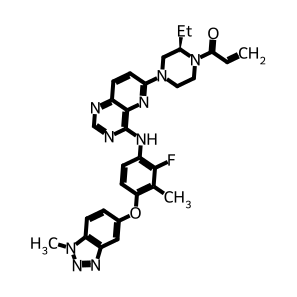 C=CC(=O)N1CCN(c2ccc3ncnc(Nc4ccc(Oc5ccc6c(c5)nnn6C)c(C)c4F)c3n2)C[C@H]1CC